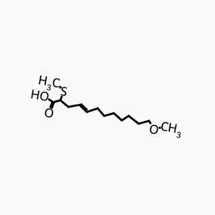 COCCCCCCCC=CCC(SC)C(=O)O